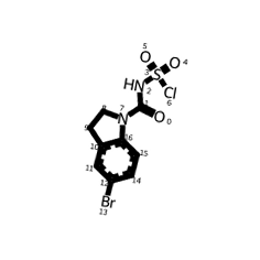 O=C(NS(=O)(=O)Cl)N1CCc2cc(Br)ccc21